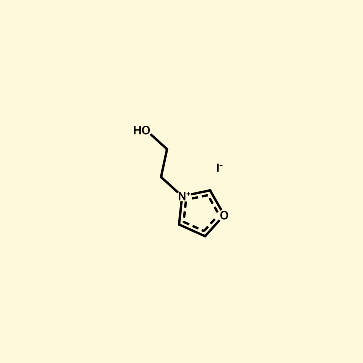 OCC[n+]1ccoc1.[I-]